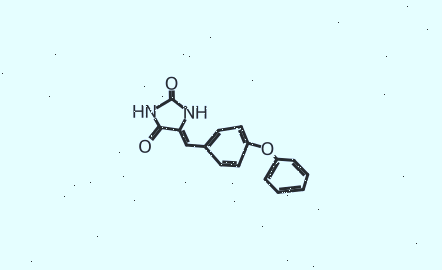 O=C1NC(=O)C(=Cc2ccc(Oc3ccccc3)cc2)N1